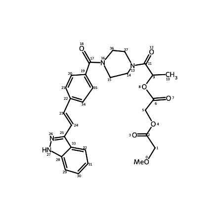 COCC(=O)OCC(=O)OC(C)C(=O)N1CCN(C(=O)c2ccc(/C=C/c3n[nH]c4ccccc34)cc2)CC1